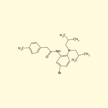 Cc1c[c]c(CC(=O)Nc2cc(Br)ccc2N(CC(C)C)CC(C)C)cc1